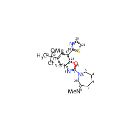 CNC1CCCCN(c2nc3cc(C(C)(OC)C(F)(F)F)cc(-c4nccs4)c3o2)C1